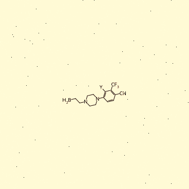 BCCN1CCN(c2ccc(C#N)c(C(F)(F)F)[c]2[Y])CC1